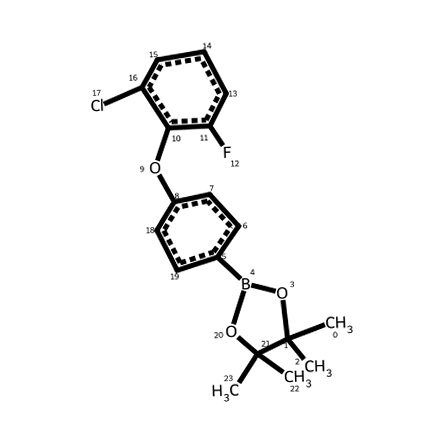 CC1(C)OB(c2ccc(Oc3c(F)cccc3Cl)cc2)OC1(C)C